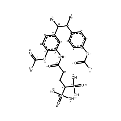 CCC(=O)Oc1ccc(C(CC)C(CC)c2ccc(OC(=O)CC)c(NC(=O)CCC(P(=O)(O)O)P(=O)(O)O)c2)cc1